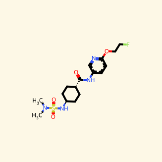 CN(C)S(=O)(=O)N[C@H]1CC[C@H](C(=O)Nc2ccc(OCCF)nc2)CC1